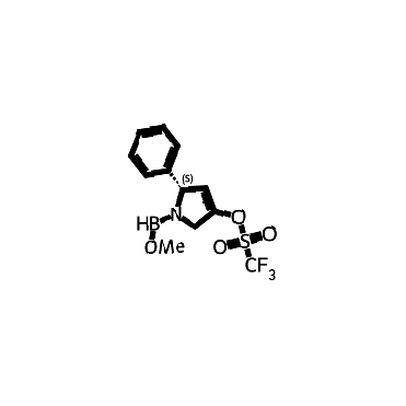 COBN1CC(OS(=O)(=O)C(F)(F)F)=C[C@H]1c1ccccc1